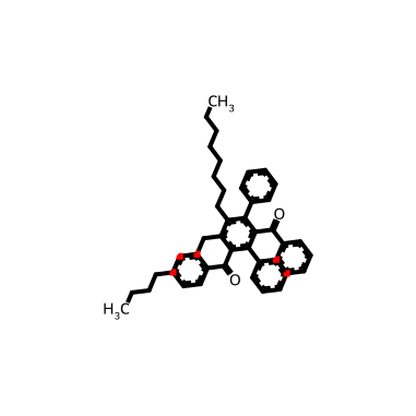 CCCCCCCCc1c(CCCCCCCC)c(-c2ccccc2)c(C(=O)c2ccccc2)c(-c2ccccc2)c1C(=O)c1ccccc1